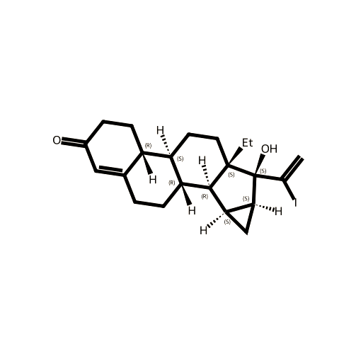 C=C(I)[C@]1(O)[C@H]2C[C@H]2[C@H]2[C@@H]3CCC4=CC(=O)CC[C@@H]4[C@H]3CC[C@@]21CC